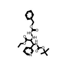 CCOC(=O)C(NNC(=O)OCc1ccccc1)C(NC(=O)OC(C)(C)C)c1cccnc1